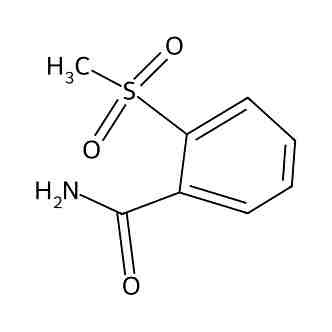 CS(=O)(=O)c1ccccc1C(N)=O